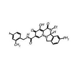 CCN1C(=O)c2c(O)c(=O)c(C(=O)NCc3ccc(I)cc3C)cn2N2Cc3ccc(P)cc3[C@@H]12